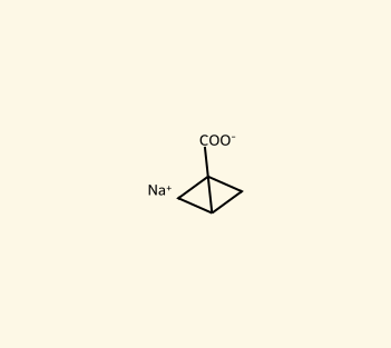 O=C([O-])C12CC1C2.[Na+]